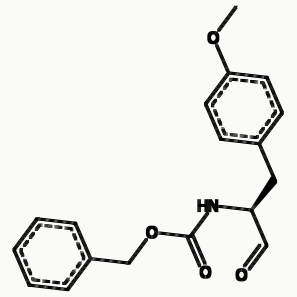 COc1ccc(C[C@@H](C=O)NC(=O)OCc2ccccc2)cc1